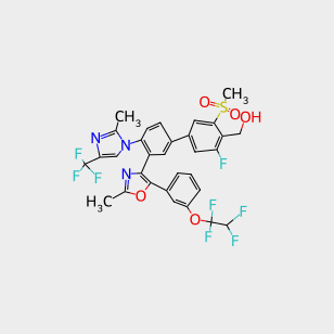 Cc1nc(-c2cc(-c3cc(F)c(CO)c(S(C)(=O)=O)c3)ccc2-n2cc(C(F)(F)F)nc2C)c(-c2cccc(OC(F)(F)C(F)F)c2)o1